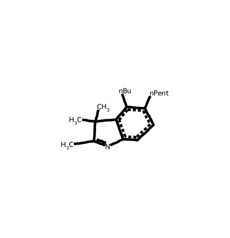 CCCCCc1ccc2c(c1CCCC)C(C)(C)C(C)=N2